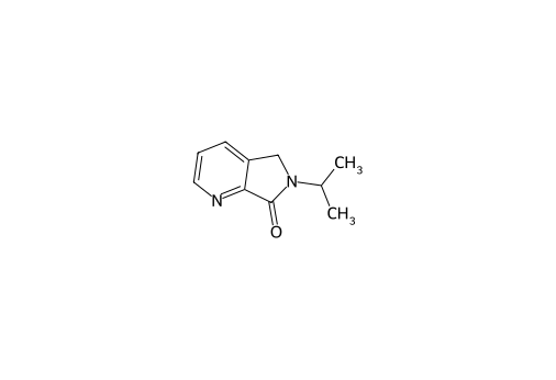 CC(C)N1Cc2cccnc2C1=O